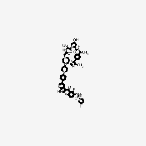 Cc1ncsc1-c1ccc([C@H](C)NC(=O)[C@@H]2C[C@@H](O)CN2C(=O)[C@@H](NC(=O)CN2CCCN(C3CCN(c4ccc(-c5cnc6[nH]cc(C(=O)c7c(F)ccc(NS(=O)(=O)N8CC[C@@H](F)C8)c7F)c6c5)cc4)CC3)CC2)C(C)(C)C)cc1